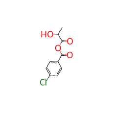 CC(O)C(=O)OC(=O)c1ccc(Cl)cc1